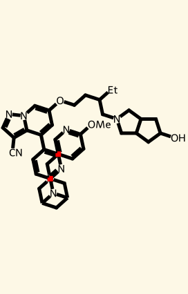 CCC(CCOc1cc(-c2ccc(N3C4CC3CN(Cc3ccc(OC)nc3)C4)nc2)c2c(C#N)cnn2c1)CN1CC2CC(O)CC2C1